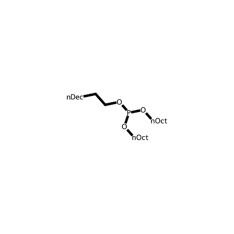 CCCCCCCCCCCCOP(OCCCCCCCC)OCCCCCCCC